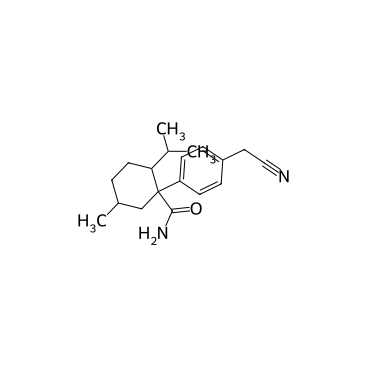 CC1CCC(C(C)C)C(C(N)=O)(c2ccc(CC#N)cc2)C1